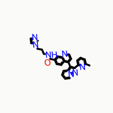 Cc1cccc(-c2nn3ccccc3c2-c2ccnc3cc(C(=O)NCCCn4ccnc4)ccc23)n1